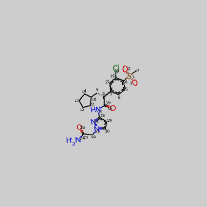 CS(=O)(=O)c1ccc([C@@H](CC2CCCC2)C(=O)Nc2ccn(CC(N)=O)n2)cc1Cl